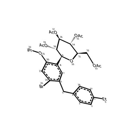 CCc1ccc(Cc2cc([C@@H]3O[C@H](COC(C)=O)[C@@H](OC(C)=O)[C@H](OC(C)=O)[C@H]3OC(C)=O)c(OC(C)C)cc2Br)cc1